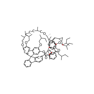 C=C(/C=C\C1(C)c2cc(OCC(C)CC)c(OCC(C)CC)cc2C(C)(/C=C/C2CC2CC(C)CC)[C@@H](C)OCC(C)CCCC(C)COc2cc3c(cc2OCC(C)CC)-c2cc(OCC(C)CC)c(OCC(C)CC)cc2C32c3ccccc3-c3ccc(cc32)P1(=O)c1ccccc1)c1ccccc1